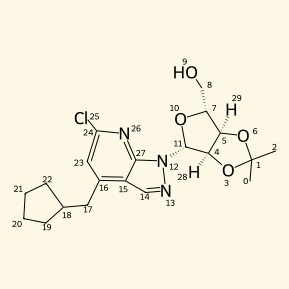 CC1(C)O[C@@H]2[C@H](O1)[C@@H](CO)O[C@H]2n1ncc2c(CC3CCCC3)cc(Cl)nc21